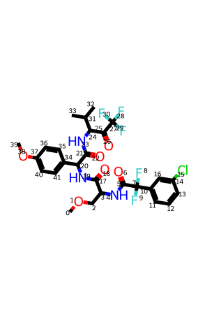 COCC(NC(=O)C(F)(F)c1cccc(Cl)c1)C(=O)NC(C(=O)NC(C(=O)C(F)(F)F)C(C)C)c1ccc(OC)cc1